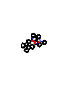 c1ccc(N(c2ccccc2)c2ccc3c(c2)C2(c4ccccc4-3)c3ccccc3-c3ccc(N(c4ccccc4)c4cccc5c4c4ccccc4n5-c4ccccc4)cc32)cc1